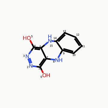 Oc1nnc(O)c2c1Nc1ccccc1N2